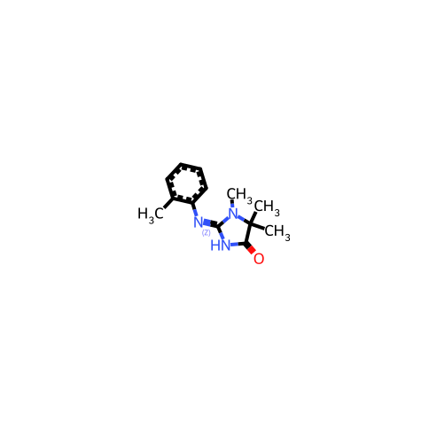 Cc1ccccc1/N=C1/NC(=O)C(C)(C)N1C